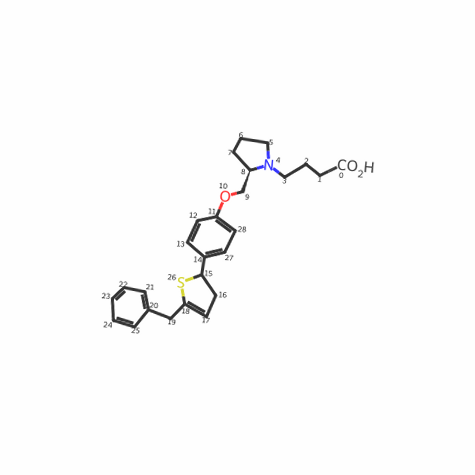 O=C(O)CCCN1CCC[C@@H]1COc1ccc(C2CC=C(Cc3ccccc3)S2)cc1